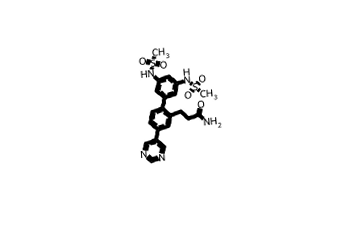 CS(=O)(=O)Nc1cc(NS(C)(=O)=O)cc(-c2ccc(-c3cncnc3)cc2CCC(N)=O)c1